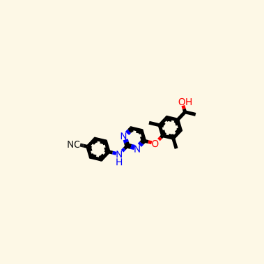 Cc1cc(C(C)O)cc(C)c1Oc1ccnc(Nc2ccc(C#N)cc2)n1